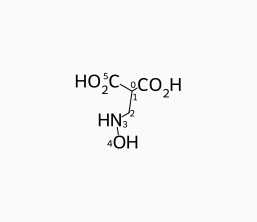 O=C(O)C(CNO)C(=O)O